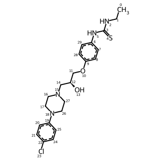 CCNC(=S)Nc1ccc(OC[C@@H](O)CN2CCN(c3ccc(Cl)cc3)CC2)cc1